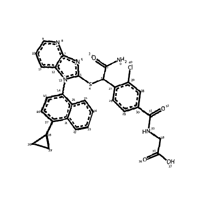 NC(=O)C(Sc1nc2ncccc2n1-c1ccc(C2CC2)c2ccccc12)c1ccc(C(=O)NCC(=O)O)cc1Cl